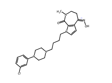 CN1CC/C(=N/O)c2ccn(CCCCN3CCN(c4cccc(Cl)c4)CC3)c2C1=O